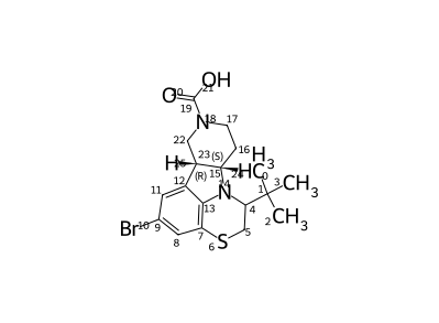 CC(C)(C)C1CSc2cc(Br)cc3c2N1[C@H]1CCN(C(=O)O)C[C@@H]31